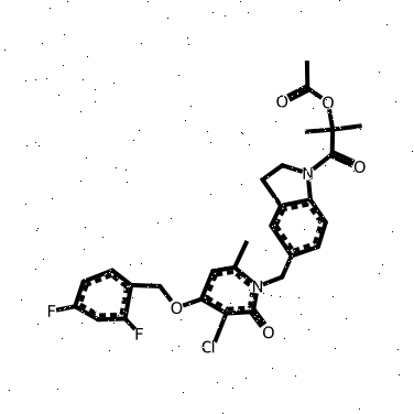 CC(=O)OC(C)(C)C(=O)N1CCc2cc(Cn3c(C)cc(OCc4ccc(F)cc4F)c(Cl)c3=O)ccc21